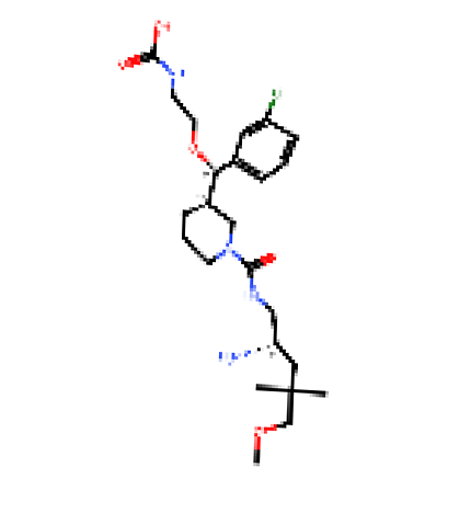 COCC(C)(C)C[C@H](N)CNC(=O)N1CCC[C@@H]([C@@H](OCCNC(=O)O)c2cccc(Cl)c2)C1